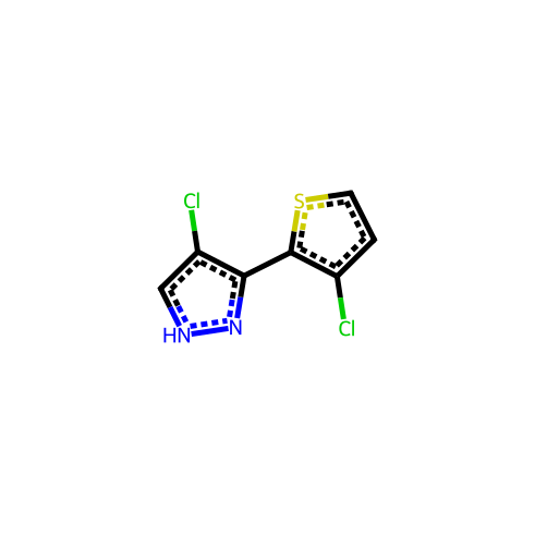 Clc1c[nH]nc1-c1sccc1Cl